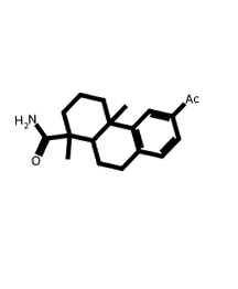 CC(=O)c1ccc2c(c1)C1(C)CCCC(C)(C(N)=O)C1CC2